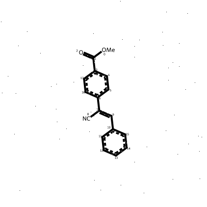 COC(=O)c1ccc(C(C#N)=Cc2ccccc2)cc1